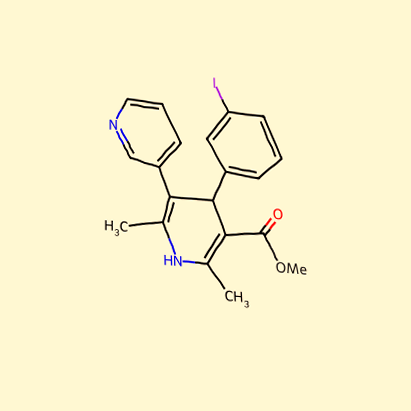 COC(=O)C1=C(C)NC(C)=C(c2cccnc2)C1c1cccc(I)c1